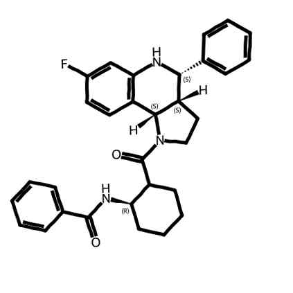 O=C(N[C@@H]1CCCCC1C(=O)N1CC[C@H]2[C@@H](c3ccccc3)Nc3cc(F)ccc3[C@H]21)c1ccccc1